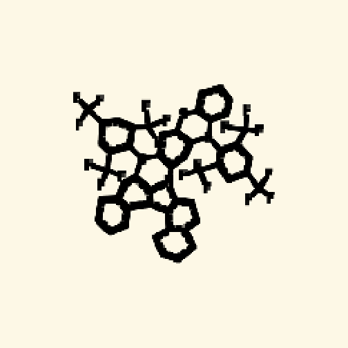 FC(F)(F)c1cc(C(F)(F)F)c(B2c3ccccc3Sc3cc4c(cc32)-n2c3ccc5ccccc5c3c3c5ccccc5cc(c32)B4c2c(C(F)(F)F)cc(C(F)(F)F)cc2C(F)(F)F)c(C(F)(F)F)c1